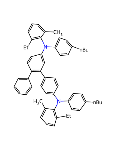 CCCCc1ccc(N(c2ccc(-c3cc(N(c4ccc(CCCC)cc4)c4c(C)cccc4CC)ccc3-c3ccccc3)cc2)c2c(C)cccc2CC)cc1